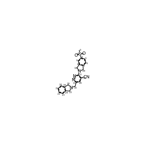 CS(=O)(=O)c1ccc2c(c1)CN(c1nnc(CN3Cc4ccccc4C3)cc1C#N)C2